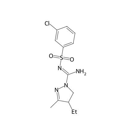 CCC1CN(/C(N)=N/S(=O)(=O)c2cccc(Cl)c2)N=C1C